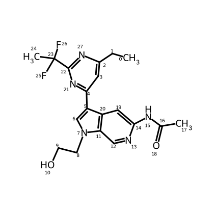 CCc1cc(-c2cn(CCO)c3cnc(NC(C)=O)cc23)nc(C(C)(F)F)n1